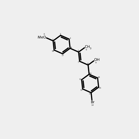 COc1ccc(/C(C)=C/C(O)c2ccc(Br)cc2)cc1